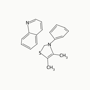 CC1=C(C)N(c2ccccc2)CS1.c1ccc2ncccc2c1